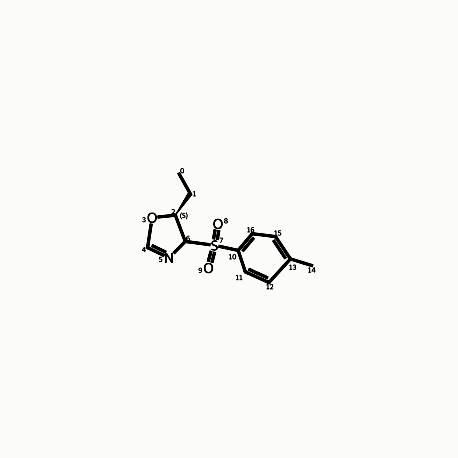 CC[C@@H]1OC=NC1S(=O)(=O)c1ccc(C)cc1